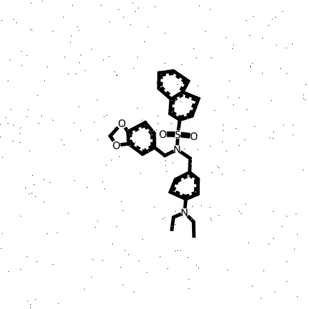 CCN(CC)c1ccc(CN(Cc2ccc3c(c2)OCO3)S(=O)(=O)c2ccc3ccccc3c2)cc1